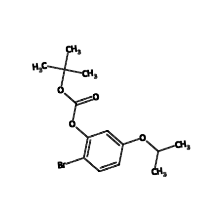 CC(C)Oc1ccc(Br)c(OC(=O)OC(C)(C)C)c1